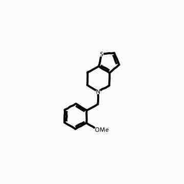 COc1ccccc1CN1CCc2sccc2C1